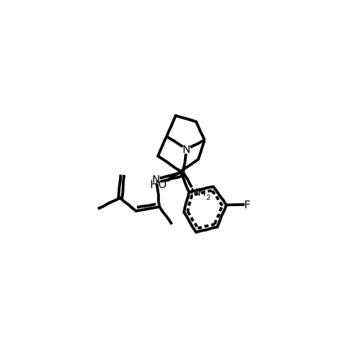 C=C(C)/C=C(C)\N=C(/N)N1C2CCC1CC(O)(c1cccc(F)c1)C2